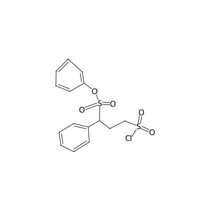 O=S(=O)(Cl)CCC(c1ccccc1)S(=O)(=O)Oc1ccccc1